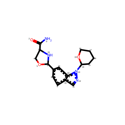 NC(=O)C1COC(c2ccc3cnn(C4CCCCO4)c3c2)N1